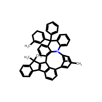 Bc1c2cc(C)cc1N1c3ccccc3C(C3=CCCC(C)=C3)(c3ccccc3)c3cccc(c31)C1C3=C(c4ccccc4C3(C)C)c3cccc-2c31